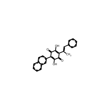 CC(=Cc1ccccc1)C1=C(O)C(=O)C(c2ccc3ccccc3c2)=C(O)C1=O